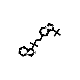 CC(C)(C)c1ncn2ccc(CCC(C)(C)c3ncn4ccccc34)cc12